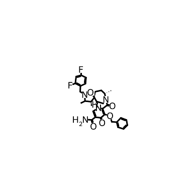 CC1[C@H](C)[C@]2(CC[C@H](C)N3C[C@H]2n2cc(C(N)=O)c(=O)c(OCc4ccccc4)c2C3=O)ON1Cc1ccc(F)cc1F